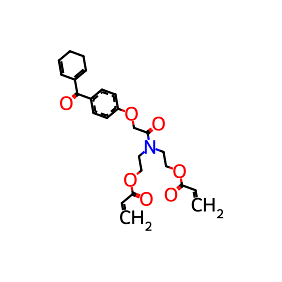 C=CC(=O)OCCN(CCOC(=O)C=C)C(=O)COc1ccc(C(=O)C2=CCCC=C2)cc1